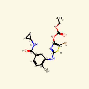 CCOC(=O)Oc1nc(Nc2cc(C(=O)NC3CC3)ccc2C)sc1Br